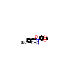 CC(C)(C)c1ccc(CCC(=O)Nc2ccc3c(c2)OCCO3)c(C=O)c1